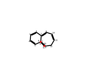 [C]1=C2C=CC=CC23CC=CC=C3CC=C1